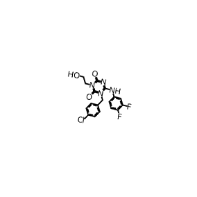 O=c1nc(Nc2ccc(F)c(F)c2)n(Cc2ccc(Cl)cc2)c(=O)n1CCO